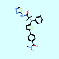 CCN(C)C(=O)c1ccc(-c2ccc([C@@H](c3cccc(F)c3)C(C)(C)C(=O)Nc3nncs3)s2)cc1